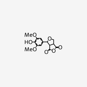 COc1cc(C2OCC3C(=O)OC(=O)C32)cc(OC)c1O